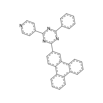 c1ccc(-c2nc(-c3ccncc3)nc(-c3ccc4c5ccccc5c5ccccc5c4c3)n2)cc1